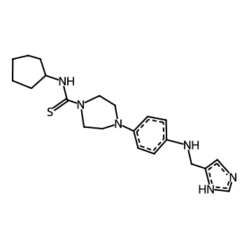 S=C(NC1CCCCC1)N1CCN(c2ccc(NCc3cnc[nH]3)cc2)CC1